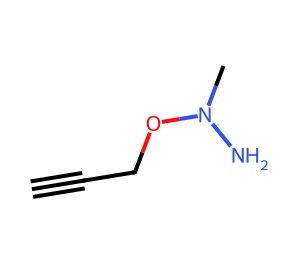 C#CCON(C)N